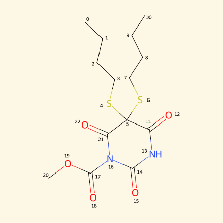 CCCCSC1(SCCCC)C(=O)NC(=O)N(C(=O)OC)C1=O